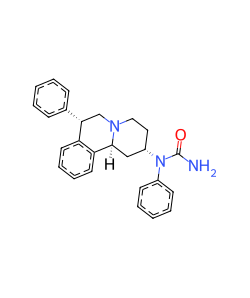 NC(=O)N(c1ccccc1)[C@H]1CCN2C[C@@H](c3ccccc3)c3ccccc3[C@@H]2C1